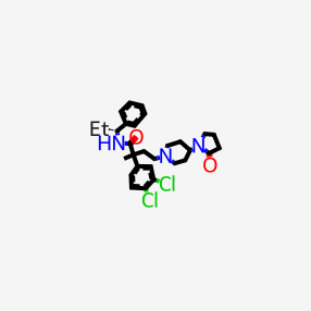 CC[C@@H](NC(=O)C(C)(CCN1CCC(N2CCCC2=O)CC1)c1ccc(Cl)c(Cl)c1)c1ccccc1